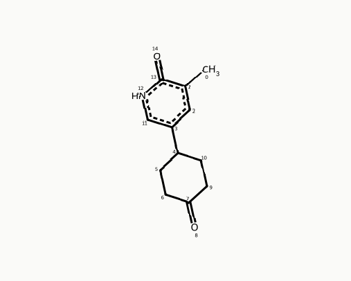 Cc1cc(C2CCC(=O)CC2)c[nH]c1=O